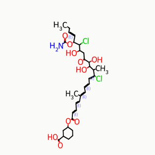 CC/C=C/C(OC(N)=O)C(Cl)C(O)CC(=O)C(O)C(O)C(C)/C(Cl)=C/C=C/C=C(C)/C=C/C=C/C(=O)OC1CCCC(C(=O)O)C1